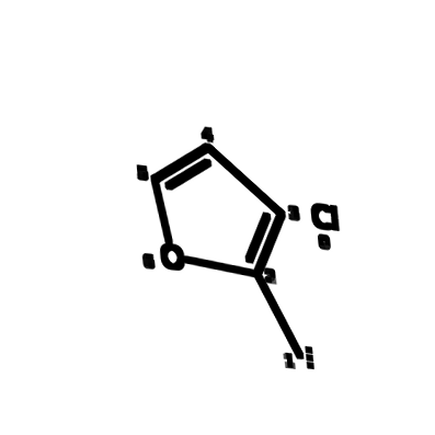 [C].[C]c1ccco1